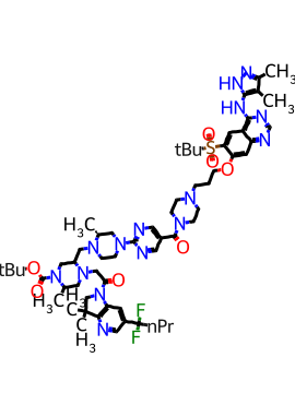 CCCC(F)(F)c1cnc2c(c1)N(C(=O)CN1CC(C)N(C(=O)OC(C)(C)C)CC1CN1CCN(c3ncc(C(=O)N4CCN(CCCOc5cc6ncnc(Nc7[nH]nc(C)c7C)c6cc5S(=O)(=O)C(C)(C)C)CC4)cn3)C[C@H]1C)CC2(C)C